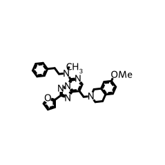 COc1ccc2c(c1)CN(Cc1cnc(N(C)CCc3ccccc3)n3nc(-c4ccco4)nc13)CC2